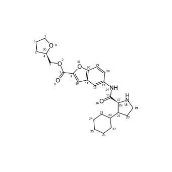 O=C(OC[C@H]1CCCO1)c1cc2cc(NC(=O)[C@H]3NCCC3C3CCCCC3)ccc2o1